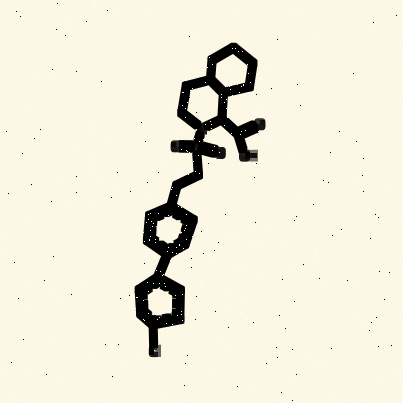 O=C(O)C1C2CCCCC2CCN1S(=O)(=O)CCc1ccc(-c2ccc(Cl)cc2)cc1